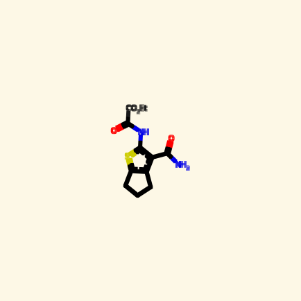 CCOC(=O)C(=O)Nc1sc2c(c1C(N)=O)CCC2